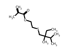 C=C(C)C(=O)OCCSCC(C)(CC)C(C)C